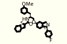 COc1cccc(C[C@@H](COc2ccc3c(cnn3-c3ccc(F)cc3)c2)NC(=O)c2cc3ccccc3s2)c1